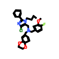 CCCCn1c(-c2ccccc2)nc(Cl)c1CN(Cc1ccc(F)c(OC)c1)Cc1ccc2c(c1)OCCO2